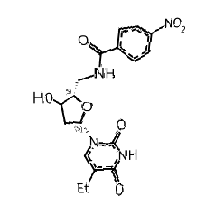 CCc1cn([C@@H]2CC(O)[C@H](CNC(=O)c3ccc([N+](=O)[O-])cc3)O2)c(=O)[nH]c1=O